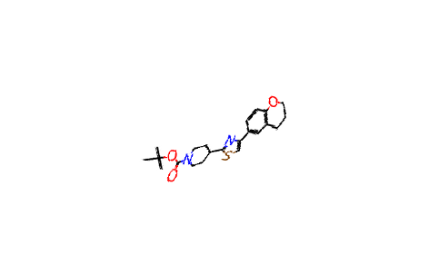 CC(C)(C)OC(=O)N1CCC(c2nc(-c3ccc4c(c3)CCCO4)cs2)CC1